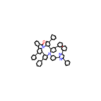 O=c1c2ccccc2c2cc(-c3ccccc3)cc3c2n1-c1ccc(-c2ccccc2)cc1-c1cc(-c2ccccc2)ccc1N(c1cccc(-c2nc(-c4ccccc4)cc(-c4ccccc4)n2)c1)c1ccc(-c2ccccc2)cc1-3